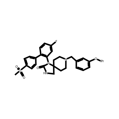 CC(C)Oc1cccc(CN2CCC3(CC2)CNC(=O)N3c2cc(F)ccc2-c2ccc(S(C)(=O)=O)cc2)c1